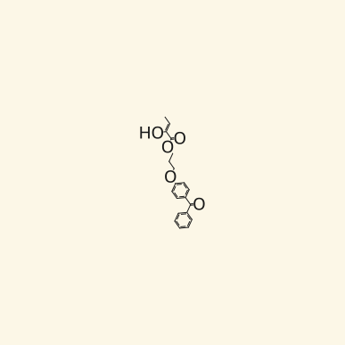 CC=C(O)C(=O)OCCCOc1ccc(C(=O)c2ccccc2)cc1